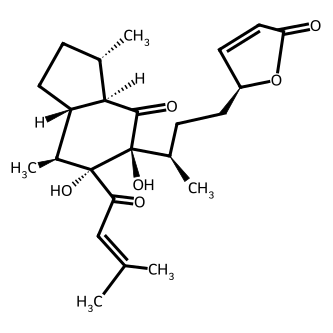 CC(C)=CC(=O)[C@@]1(O)[C@@H](C)[C@@H]2CC[C@H](C)[C@H]2C(=O)[C@]1(O)[C@H](C)CC[C@H]1C=CC(=O)O1